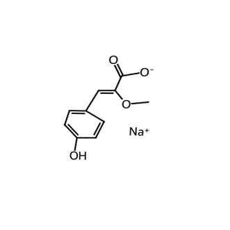 COC(=Cc1ccc(O)cc1)C(=O)[O-].[Na+]